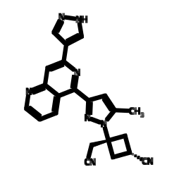 Cc1cc(-c2nc(-c3cn[nH]c3)cc3ncccc23)nn1[C@]1(CC#N)C[C@H](C#N)C1